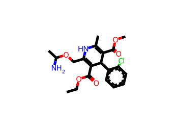 CCOC(=O)C1=C(COC(C)N)NC(C)=C(C(=O)OC)C1c1ccccc1Cl